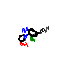 Nc1cc(C(=O)O)cc(Br)c1N1CCCC(O)C1